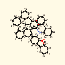 CCc1ccc2cccc3c2c1C1(c2ccccc2-c2ccc(N(c4ccccc4-c4ccccc4)c4cccc5c4oc4ccccc45)cc21)c1ccccc1-3